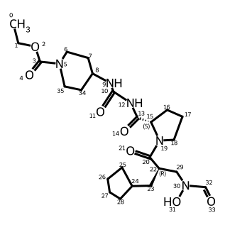 CCOC(=O)N1CCC(NC(=O)NC(=O)[C@@H]2CCCN2C(=O)[C@H](CC2CCCC2)CN(O)C=O)CC1